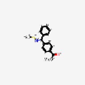 COC(=O)c1ccc([C@@H](NSC(C)(C)C)c2ccccc2)cc1